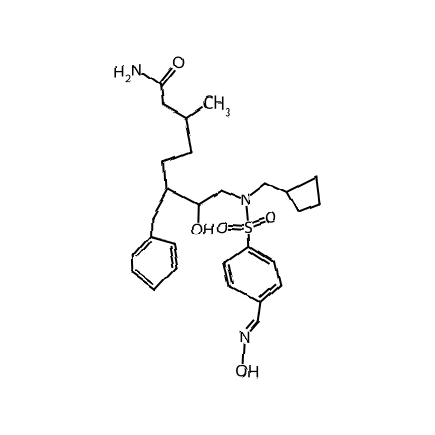 CC(CCC(Cc1ccccc1)C(O)CN(CC1CCC1)S(=O)(=O)c1ccc(C=NO)cc1)CC(N)=O